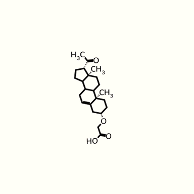 CC(=O)[C@H]1CCC2C3CC=C4C[C@@H](OCC(=O)O)CC[C@]4(C)C3CC[C@@]21C